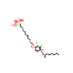 CCCCCCC(C)COc1ccc(OCCCCCCCCCCCP(=O)(O)O)c(F)c1F